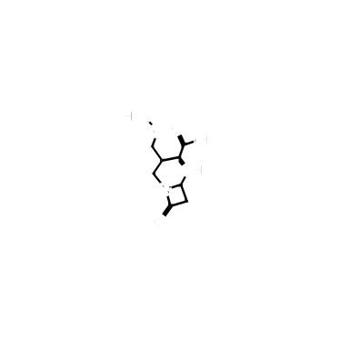 COCC1CN2C(=O)CC2[SH]=C1C(=O)O